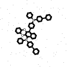 c1ccc(-c2ccc(N(c3ccccc3)c3ccc(-c4c5c(c(N(c6ccccc6)c6ccc(-c7ccccc7)cc6)c6ccccc46)Oc4ccccc4O5)cc3)cc2)cc1